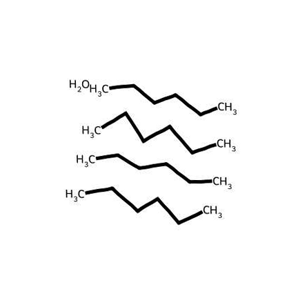 CCCCCC.CCCCCC.CCCCCC.CCCCCC.O